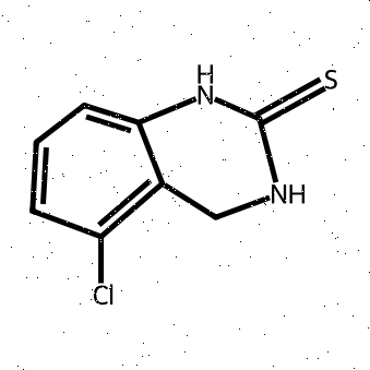 S=C1NCc2c(Cl)cccc2N1